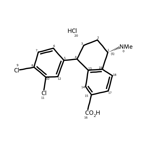 CN[C@H]1CCC(c2ccc(Cl)c(Cl)c2)c2cc(C(=O)O)ccc21.Cl